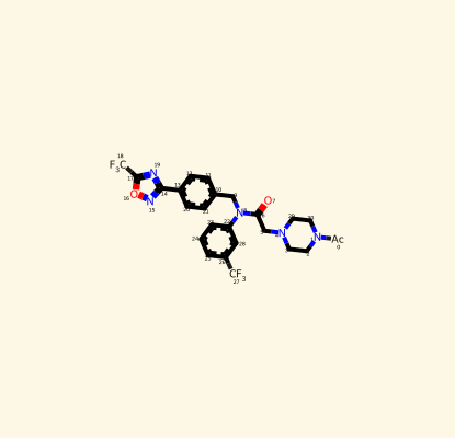 CC(=O)N1CCN(CC(=O)N(Cc2ccc(-c3noc(C(F)(F)F)n3)cc2)c2cccc(C(F)(F)F)c2)CC1